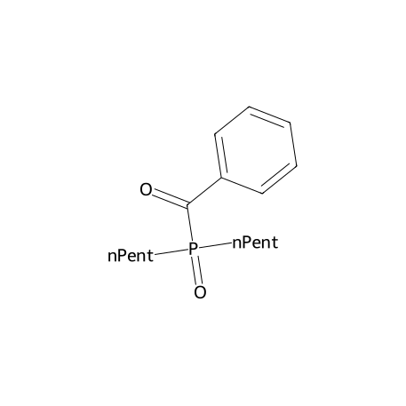 CCCCCP(=O)(CCCCC)C(=O)c1ccccc1